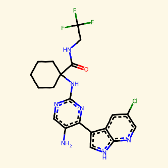 Nc1cnc(NC2(C(=O)NCC(F)(F)F)CCCCC2)nc1-c1c[nH]c2ncc(Cl)cc12